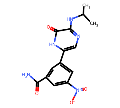 CC(C)Nc1ncc(-c2cc(C(N)=O)cc([N+](=O)[O-])c2)[nH]c1=O